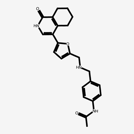 CC(=O)Nc1ccc(CNCc2ccc(-c3c[nH]c(=O)c4c3CCCC4)o2)cc1